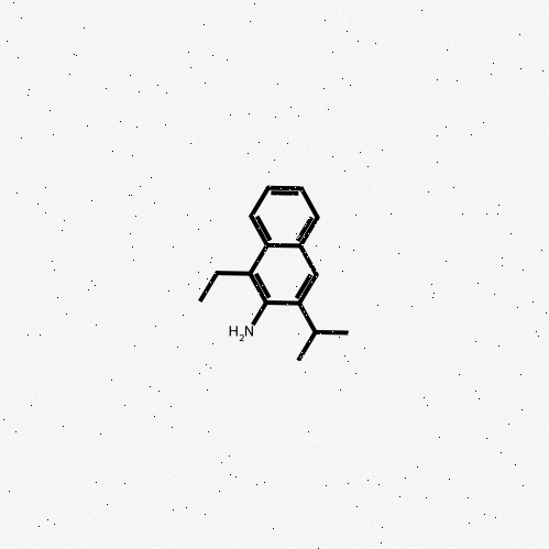 CCc1c(N)c(C(C)C)cc2ccccc12